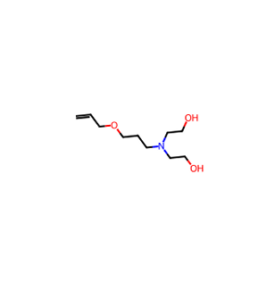 C=CCOCCCN(CCO)CCO